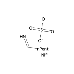 CCCCCC=N.O=S(=O)([O-])[O-].[Ni+2]